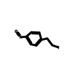 O=Nc1ccc(CCI)cc1